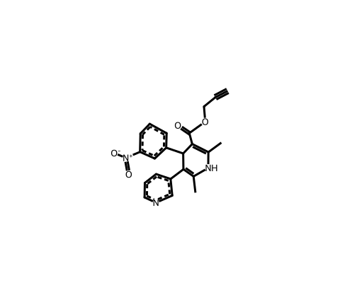 C#CCOC(=O)C1=C(C)NC(C)=C(c2cccnc2)C1c1cccc([N+](=O)[O-])c1